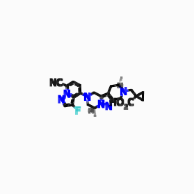 C[C@@H]1CN(c2ccc(C#N)n3ncc(F)c23)Cc2c3c(nn21)CN(CC1(C(=O)O)CC1)[C@@H](C)C3